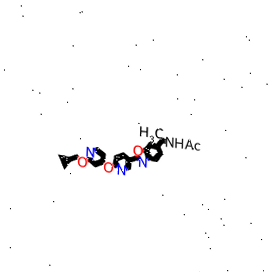 CC(=O)NC(C)c1ccc2nc(-c3ccc(Oc4ccnc(OCC5CC5)c4)nc3)oc2c1